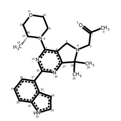 CC(=O)CN1Cc2c(N3CCOC[C@H]3C)nc(-c3cccc4[nH]ccc34)nc2C1(C)C